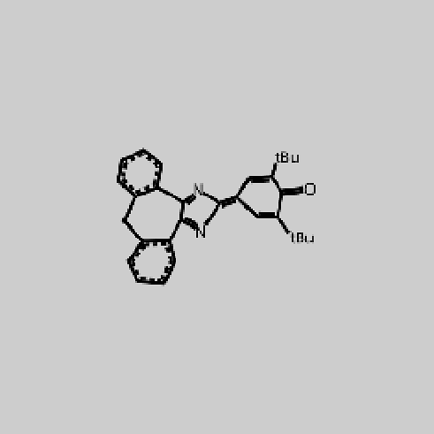 CC(C)(C)C1=CC(=C2N=C3C(=N2)c2ccccc2Cc2ccccc23)C=C(C(C)(C)C)C1=O